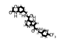 O=C1COc2ccc(CNC(=O)c3ncnc4c(C(=O)NCc5ccc(C(F)(F)F)nc5)c[nH]c34)cc2N1